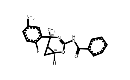 C[C@@]1(c2cc(N)ccc2F)N=C(NC(=O)c2ccccc2)O[C@@H]2CC21